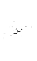 CC(C)OC(=O)CC(C(=O)OC(C)C)C(O)C(=O)OC(C)C